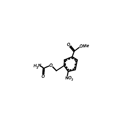 COC(=O)c1ccc([N+](=O)[O-])c(COC(N)=O)c1